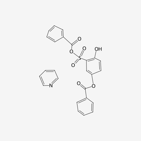 O=C(Oc1ccc(O)c(S(=O)(=O)OC(=O)c2ccccc2)c1)c1ccccc1.c1ccncc1